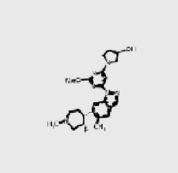 COc1nc(N2CC[C@@H](O)C2)cc(-n2ncc3cc(C)c([C@H]4CCN(C)C[C@H]4F)cc32)n1